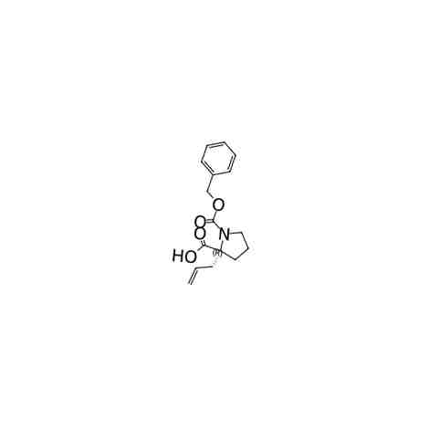 C=CC[C@@]1(C(=O)O)CCCN1C(=O)OCc1ccccc1